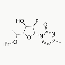 Cc1ccn([C@@H]2O[C@H](C(C)OC(C)C)[C@@H](O)[C@H]2F)c(=O)n1